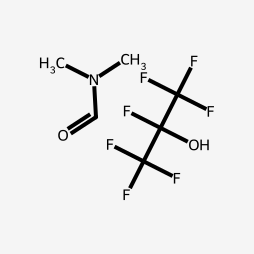 CN(C)C=O.OC(F)(C(F)(F)F)C(F)(F)F